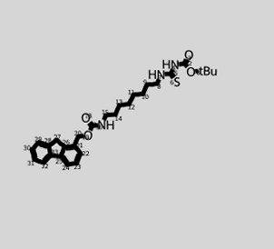 CC(C)(C)OC(=O)NC(=S)NCCCCCCCCNC(=O)OCc1cccc2c1Cc1ccccc1-2